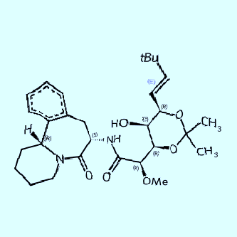 CO[C@@H](C(=O)N[C@H]1Cc2ccccc2[C@H]2CCCCN2C1=O)[C@@H]1OC(C)(C)O[C@H](/C=C/C(C)(C)C)[C@@H]1O